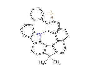 CC1(C)c2ccc3ccccc3c2-c2c1ccc1c3ccccc3n(-c3cccc4sc5ccccc5c34)c21